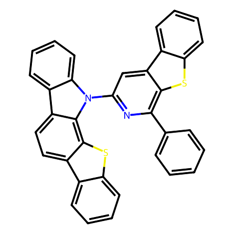 c1ccc(-c2nc(-n3c4ccccc4c4ccc5c6ccccc6sc5c43)cc3c2sc2ccccc23)cc1